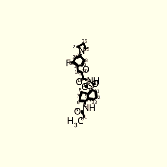 CCC(=O)Nc1cccc2c(S(=O)(=O)NC(=O)c3cc4c(F)cc(N5CCC5)cc4o3)cccc12